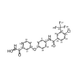 O=C(Nc1ccc(Oc2ccnc(C(=O)NO)c2)cc1)c1ccc(Cl)c(C(F)(F)F)c1